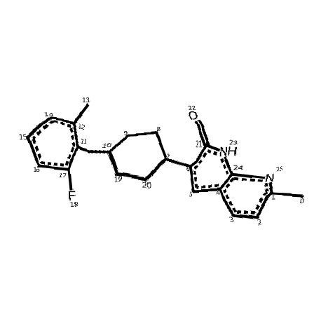 Cc1ccc2cc(C3CCC(c4c(C)cccc4F)CC3)c(=O)[nH]c2n1